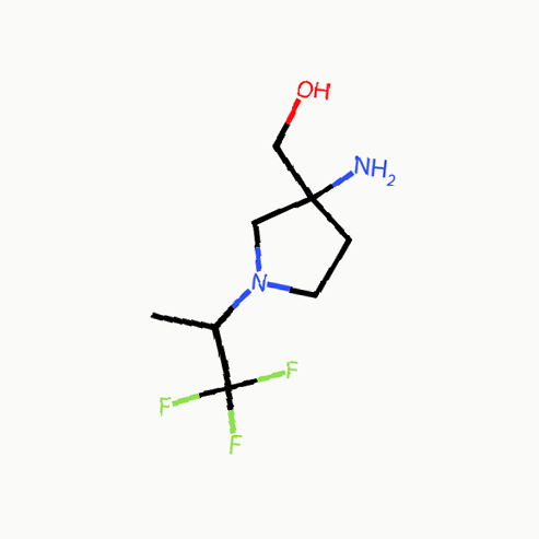 CC(N1CCC(N)(CO)C1)C(F)(F)F